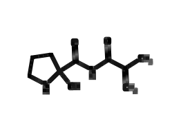 C=C(C)C(=O)NC(=O)C1(O)CCCN1